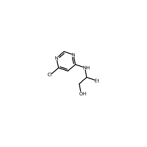 CCC(CO)Nc1cc(Cl)ncn1